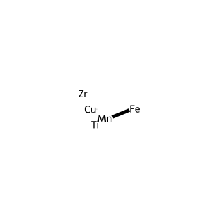 [Cu].[Mn][Fe].[Ti].[Zr]